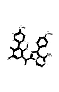 CCOc1c(C(C)c2nc(-c3ccc(OC)cc3)c3c(N)nccn23)cc(Cl)c(C)c1-c1ccc(OC)cc1